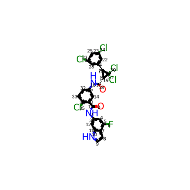 O=C(Nc1cc(F)c2cc[nH]c2c1)c1cc(NC(=O)[C@@H]2[C@@H](c3cc(Cl)cc(Cl)c3)C2(Cl)Cl)ccc1Cl